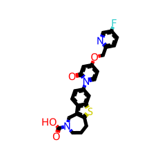 O=C(O)N1CCCc2sc3cc(-n4ccc(OCc5ccc(F)cn5)cc4=O)ccc3c2C1